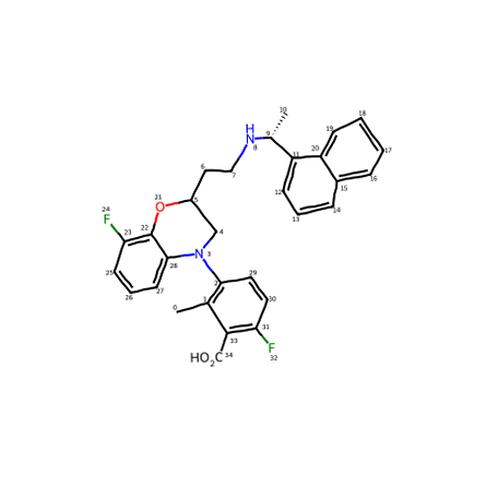 Cc1c(N2CC(CCN[C@H](C)c3cccc4ccccc34)Oc3c(F)cccc32)ccc(F)c1C(=O)O